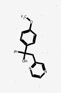 CC(C)C(O)(Cc1cnccn1)c1ccc(OC(F)(F)F)cc1